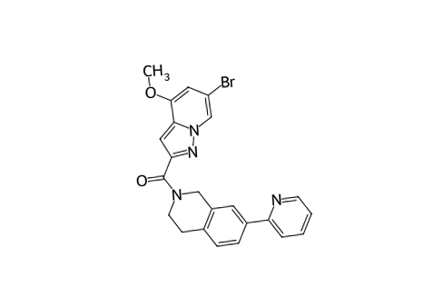 COc1cc(Br)cn2nc(C(=O)N3CCc4ccc(-c5ccccn5)cc4C3)cc12